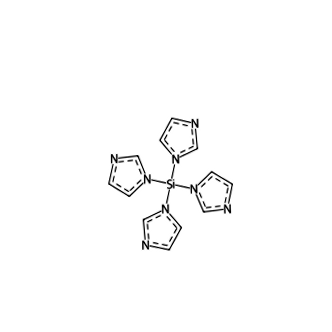 c1cn([Si](n2ccnc2)(n2ccnc2)n2ccnc2)cn1